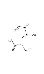 C=CC(=C)C(=O)O.CCOC(N)=O